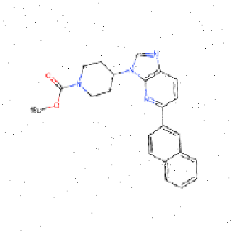 CC(C)(C)OC(=O)N1CCC(n2cnc3ccc(-c4ccc5ccccc5c4)nc32)CC1